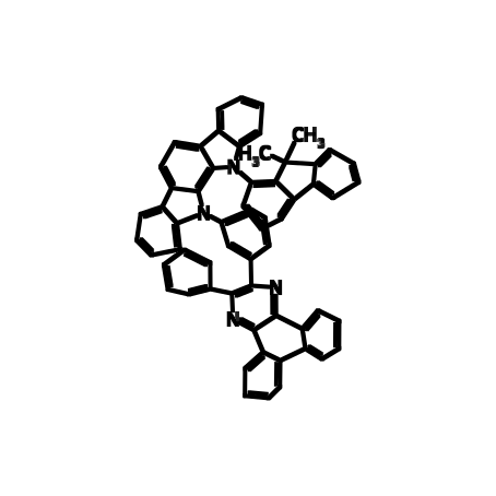 CC1(C)c2ccccc2-c2cccc(-n3c4ccccc4c4ccc5c6ccccc6n(-c6cccc(-c7nc8c9ccccc9c9ccccc9c8nc7-c7ccccc7)c6)c5c43)c21